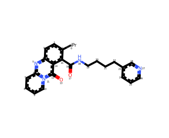 CC(C)c1ccc2nc3ccccn3c(=O)c2c1C(=O)NCCCCc1cccnc1